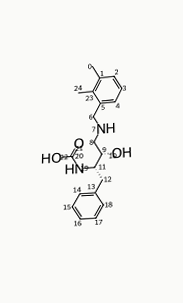 Cc1cccc(CNC[C@H](O)[C@H](Cc2ccccc2)NC(=O)O)c1C